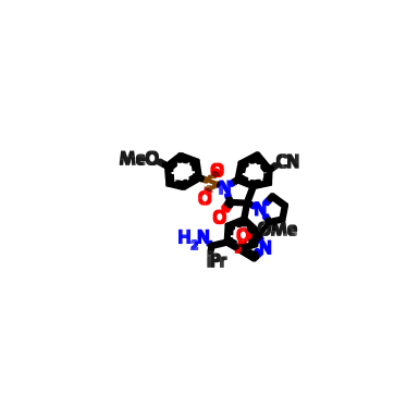 COc1ccc(S(=O)(=O)N2C(=O)C(c3cc(C(N)C(C)C)ccc3OC)(N3CCC[C@H]3c3ncco3)c3cc(C#N)ccc32)cc1